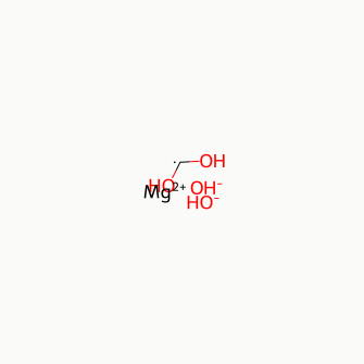 O[CH]O.[Mg+2].[OH-].[OH-]